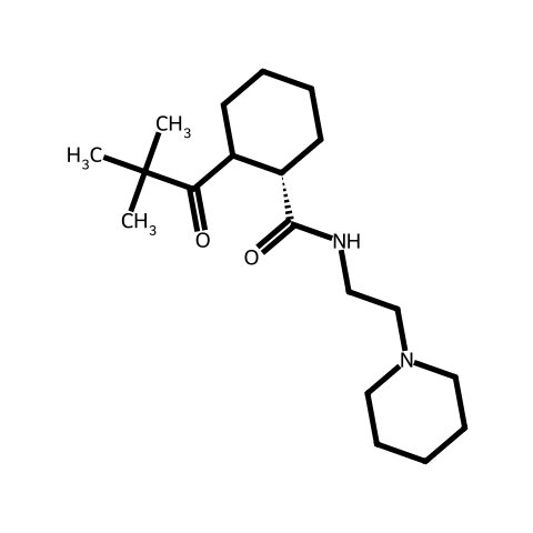 CC(C)(C)C(=O)C1CCCC[C@@H]1C(=O)NCCN1CCCCC1